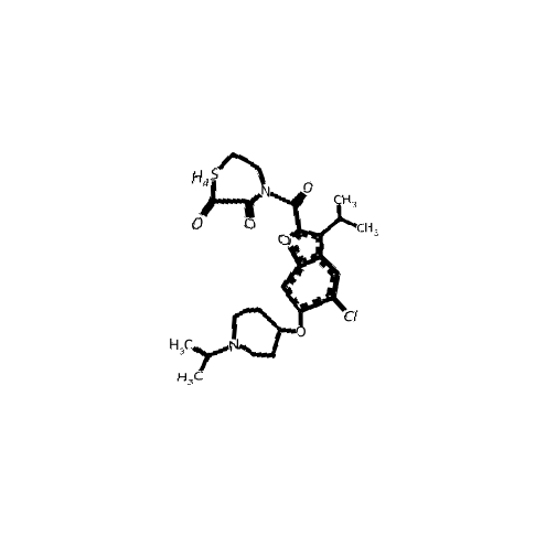 CC(C)c1c(C(=O)N2CC[SH4]C(=O)C2=O)oc2cc(OC3CCN(C(C)C)CC3)c(Cl)cc12